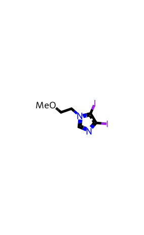 COCCn1cnc(I)c1I